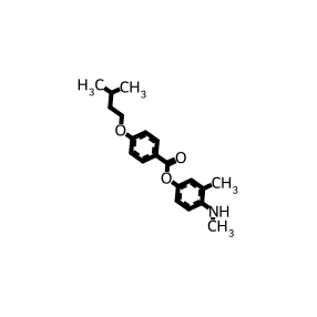 CNc1ccc(OC(=O)c2ccc(OCCC(C)C)cc2)cc1C